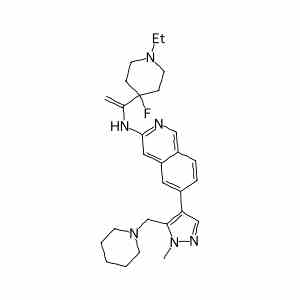 C=C(Nc1cc2cc(-c3cnn(C)c3CN3CCCCC3)ccc2cn1)C1(F)CCN(CC)CC1